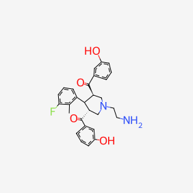 Cc1c(F)cccc1C1[C@@H](C(=O)c2cccc(O)c2)CN(CCN)C[C@@H]1C(=O)c1cccc(O)c1